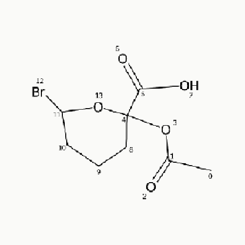 CC(=O)OC1(C(=O)O)CCCC(Br)O1